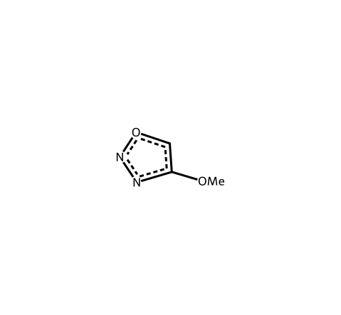 COc1conn1